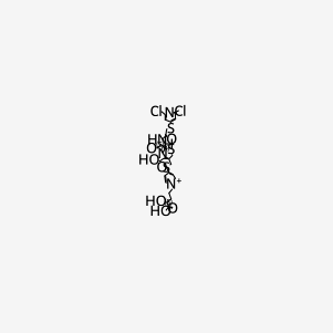 O=C(CSc1cc(Cl)nc(Cl)c1)N[C@H]1C(=O)N2C(C(=O)O)=C(CSc3cc[n+](CCC[C@H](O)C(=O)O)cc3)CS[C@H]12